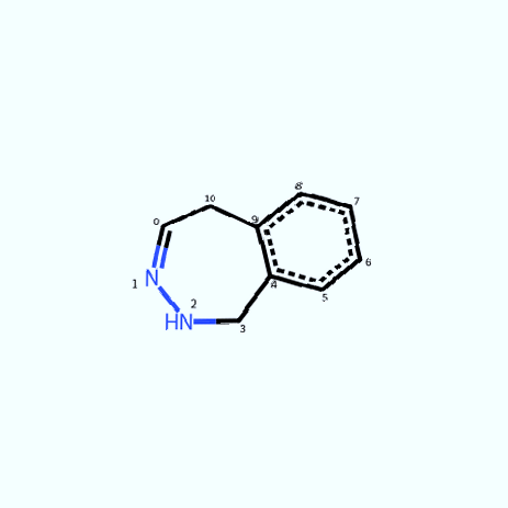 C1=NNCc2ccccc2C1